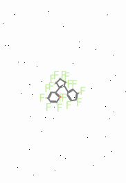 Fc1c(F)c(F)c(C2=C(c3c(F)c(F)c(F)c(F)c3F)C(F)(F)C(F)(F)C2(F)F)c(F)c1F